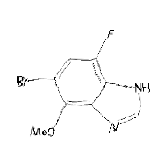 COc1c(Br)cc(F)c2[nH]cnc12